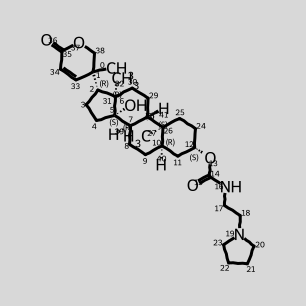 CC1([C@H]2CC[C@]3(O)[C@@H]4CC[C@@H]5C[C@@H](OC(=O)NCCN6CCCC6)CC[C@]5(C)[C@H]4CC[C@]23C)C=CC(=O)OC1